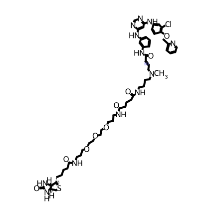 CN(C/C=C/C(=O)Nc1cccc(Nc2cc(Nc3ccc(OCc4ccccn4)c(Cl)c3)ncn2)c1)CCCCNC(=O)CCCC(=O)NCCCOCCOCCOCCCNC(=O)CCCC[C@@H]1SC[C@@H]2NC(=O)N[C@@H]21